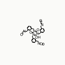 O=C=NCc1cccc(CN2C(=O)N(Cc3cccc(CN=C=O)c3)C(O)N(Cc3cccc(CN=C=O)c3)C2=O)c1